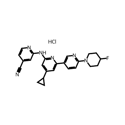 Cl.N#Cc1ccnc(Nc2cc(C3CC3)cc(-c3ccc(N4CCC(F)CC4)nc3)n2)c1